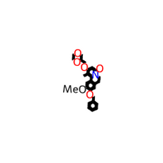 COc1cc2c(cc1OCc1ccccc1)CCn1c-2c(C)c(OCC2COCCO2)cc1=O